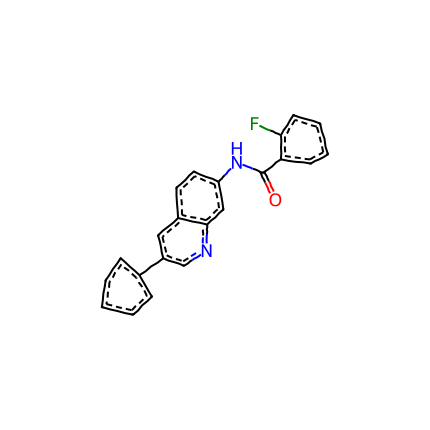 O=C(Nc1ccc2cc(-c3ccccc3)cnc2c1)c1ccccc1F